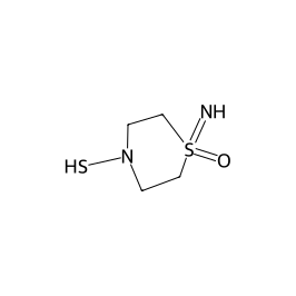 N=S1(=O)CCN(S)CC1